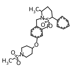 C[C@H]1CCC(c2ccccc2)S(=O)(=O)N1Cc1ccc(OC2CCN(S(C)(=O)=O)CC2)cc1F